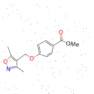 COC(=O)c1ccc(OCc2c(C)noc2C)cc1